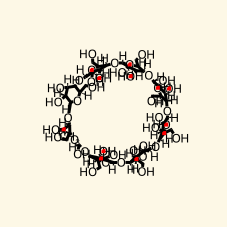 C[C@@H](O)[C@@H]1O[C@H]2O[C@H](CO)[C@@H](O[C@H]3O[C@H](CO)[C@@H](O[C@H]4O[C@H](CO)[C@@H](O[C@H]5O[C@H](CO)[C@@H](O[C@H]6O[C@H](CO)[C@@H](O[C@H]7O[C@H](CO)[C@@H](O[C@H]8O[C@H](CO)[C@@H](O[C@H](O)O[C@@H]1CO)[C@H](O)[C@H]8O)[C@H](O)[C@H]7O)[C@H](O)[C@H]6O)[C@H](O)[C@H]5O)[C@H](O)[C@H]4O)[C@H](O)[C@H]3O)[C@H](O)[C@H]2O